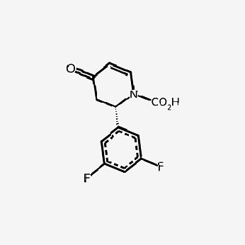 O=C1C=CN(C(=O)O)[C@H](c2cc(F)cc(F)c2)C1